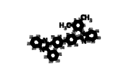 Cc1cc(C)cc(-n2c(-c3ccc(-c4ccc(-c5nc6ccccc6nc5-c5ccccc5)cc4)cc3)nc3ccccc32)c1